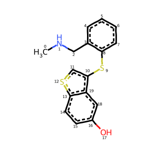 CNCc1ccccc1Sc1csc2ccc(O)cc12